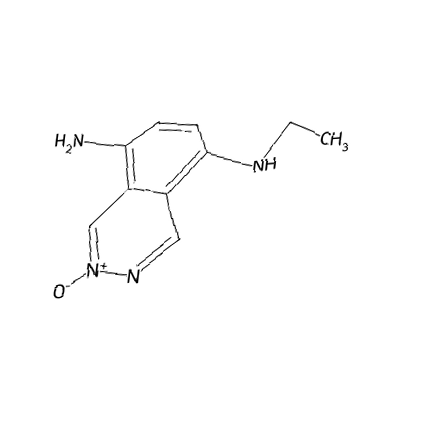 CCNc1ccc(N)c2c[n+]([O-])ncc12